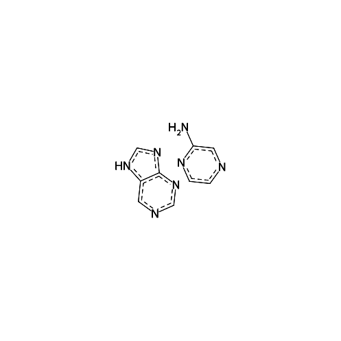 Nc1cnccn1.c1ncc2[nH]cnc2n1